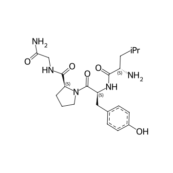 CC(C)C[C@H](N)C(=O)N[C@@H](Cc1ccc(O)cc1)C(=O)N1CCC[C@H]1C(=O)NCC(N)=O